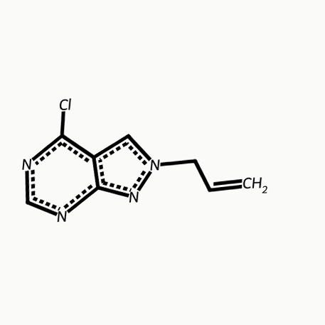 C=CCn1cc2c(Cl)ncnc2n1